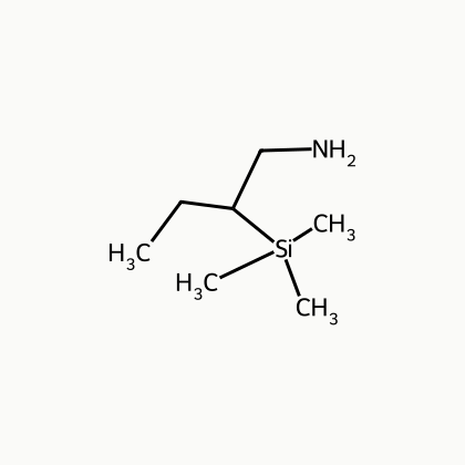 CCC(CN)[Si](C)(C)C